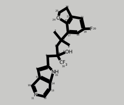 CC(C)(CC(O)(Cc1cc2cnccc2[nH]1)C(F)(F)F)c1cc(F)cc2c1OCC2